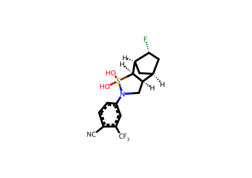 N#Cc1ccc(N2C[C@@H]3[C@H]4C[C@@H]([C@@H]3S2(O)O)[C@H](F)C4)cc1C(F)(F)F